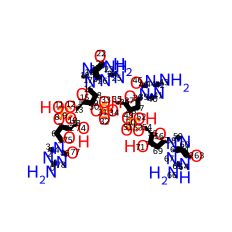 Nc1ncn([C@H]2C[C@@H](OP(=O)(O)OC[C@H]3O[C@@H](n4cnc5c(=O)[nH]c(N)nc54)C[C@H]3OP(=O)(O)OC[C@H]3O[C@@H](n4cnc(N)nc4=O)C[C@H]3OP(=O)(O)OC[C@H]3O[C@@H](n4cnc5c(=O)[nH]c(N)nc54)C[C@H]3O)[C@@H](CO)O2)c(=O)n1